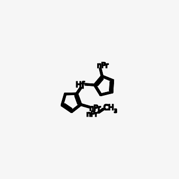 CCCC.CCCC1=[C]([Hf][C]2=C(CCC)C=CC2)CC=C1